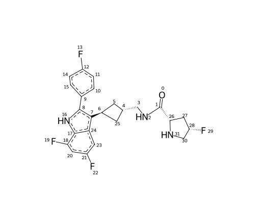 O=C(NC[C@H]1C[C@H](c2c(-c3ccc(F)cc3)[nH]c3c(F)cc(F)cc32)C1)[C@@H]1C[C@H](F)CN1